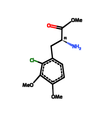 COC(=O)[C@H](N)Cc1ccc(OC)c(OC)c1Cl